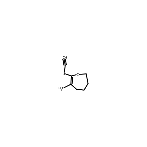 C#CSC1=C(C)CCCCC1